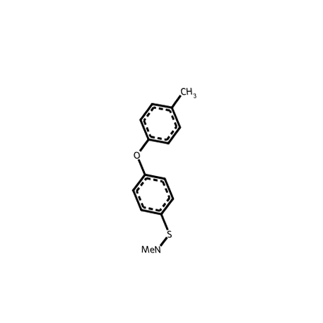 CNSc1ccc(Oc2ccc(C)cc2)cc1